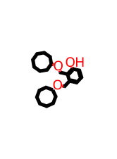 Oc1cccc(COC2CCCCCCC2)c1COC1CCCCCCC1